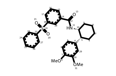 COc1ccc([C@H]2CCCC[C@H]2NC(=O)c2cccc(S(=O)(=O)c3ccccc3)c2)cc1OC